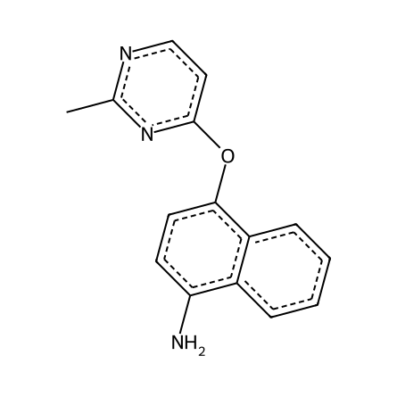 Cc1nccc(Oc2ccc(N)c3ccccc23)n1